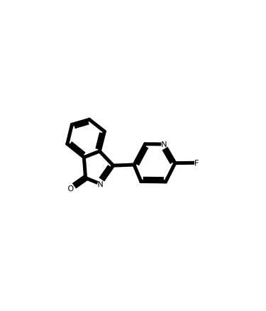 O=C1N=C(c2ccc(F)nc2)c2ccccc21